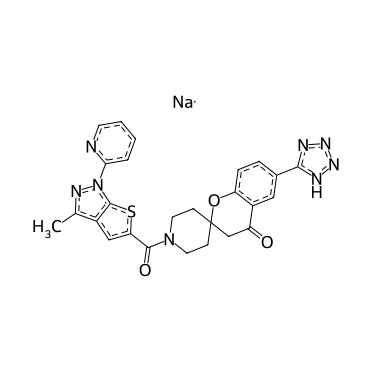 Cc1nn(-c2ccccn2)c2sc(C(=O)N3CCC4(CC3)CC(=O)c3cc(-c5nnn[nH]5)ccc3O4)cc12.[Na]